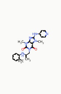 C=C(Cn1c(=O)c2c(nc(Nc3ccncc3)n2C)n(C)c1=O)Nc1ccccc1C